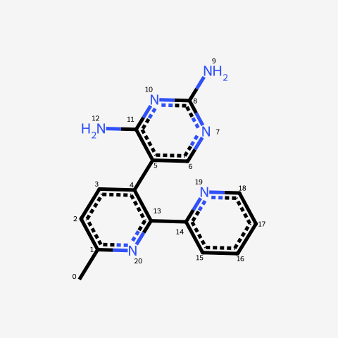 Cc1ccc(-c2cnc(N)nc2N)c(-c2ccccn2)n1